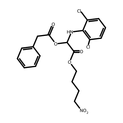 O=C(Cc1ccccc1)OC(Nc1c(Cl)cccc1Cl)C(=O)OCCCC[N+](=O)[O-]